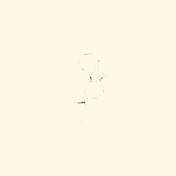 CC(C)(C)OC(=O)N1CCc2nn3c(c2C1)C(O)CCCC3